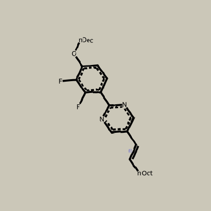 CCCCCCCC/C=C/c1cnc(-c2ccc(OCCCCCCCCCC)c(F)c2F)nc1